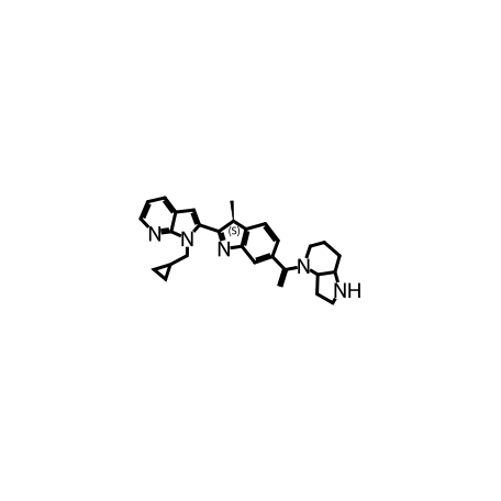 C=C(c1ccc2c(c1)N=C(c1cc3cccnc3n1CC1CC1)[C@H]2C)N1CCCC2NCCC21